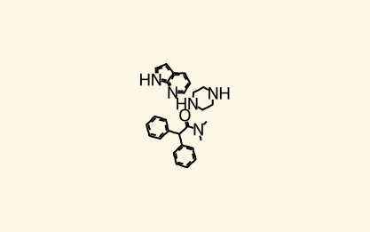 C1CNCCN1.CN(C)C(=O)C(c1ccccc1)c1ccccc1.c1cnc2[nH]ccc2c1